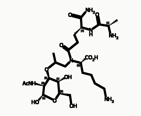 CC(=O)N[C@@H]1[C@@H](OC(C)CN(C(=O)CC[C@@H](NC(=O)[C@H](C)N)C(N)=O)[C@@H](CCCCN)C(=O)O)[C@H](O)[C@@H](CO)O[C@@H]1O